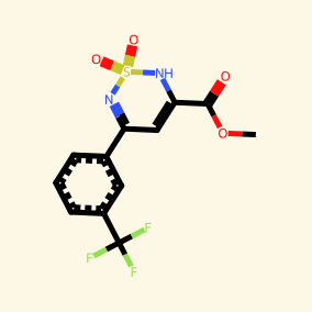 COC(=O)C1=CC(c2cccc(C(F)(F)F)c2)=NS(=O)(=O)N1